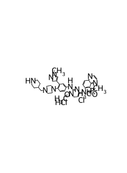 COc1cc(N2CCN(CC3CCNCC3)CC2)c(-c2cnn(C)c2)cc1Nc1ncc(Cl)c(Nc2ccc3nccnc3c2P(C)(C)=O)n1.Cl